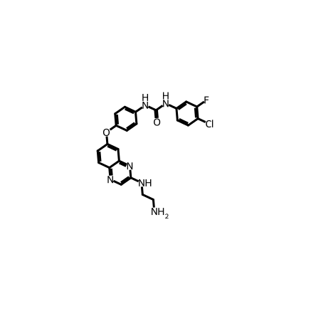 NCCNc1cnc2ccc(Oc3ccc(NC(=O)Nc4ccc(Cl)c(F)c4)cc3)cc2n1